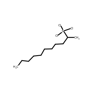 CCCCCCCCCC(C)[Si](Cl)(Cl)Cl